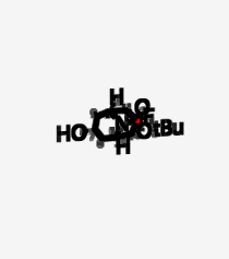 CC(C)(C)OC(=O)N1[C@@H]2C[C@H](O)C[C@H]1C[C@H](F)C2